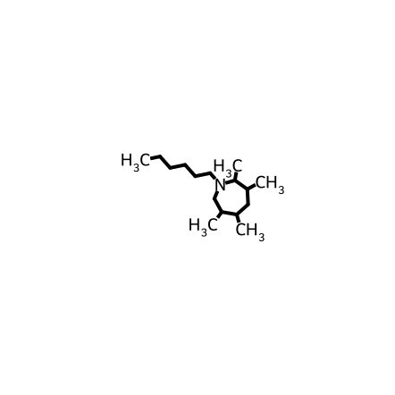 CCCCCCN1CC(C)C(C)CC(C)C1C